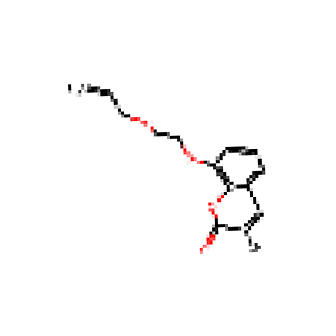 C=CCOCCOc1cccc2cc(C#N)c(=O)oc12